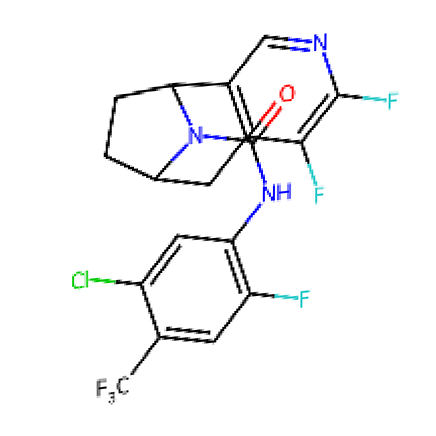 O=C(Nc1cc(Cl)c(C(F)(F)F)cc1F)N1C2CCC1c1cnc(F)c(F)c1C2